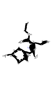 CCOC(=O)/C(C#N)=C(/Cl)c1ccc(F)cc1